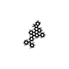 CC1(C)c2cc(-c3c4ccccc4c(-c4ccc(N(c5ccccc5)c5ccccc5)cc4)c4ccc(-c5ccccc5)cc34)c3ccccc3c2C2C=CC=CC21